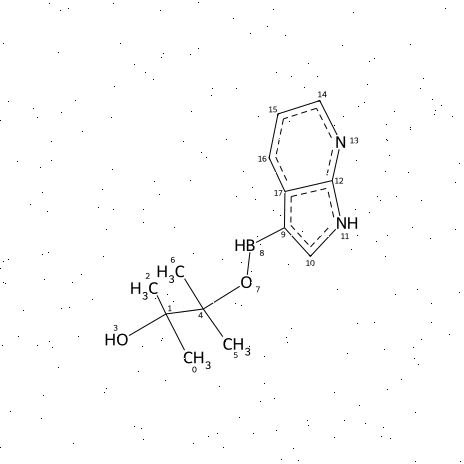 CC(C)(O)C(C)(C)OBc1c[nH]c2ncccc12